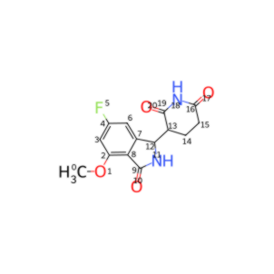 COc1cc(F)cc2c1C(=O)NC2C1CCC(=O)NC1=O